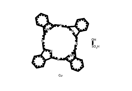 O=S(=O)(O)O.[Cu].c1ccc2c(c1)-c1nc-2nc2[nH]c(nc3nc(nc4[nH]c(n1)c1ccccc41)-c1ccccc1-3)c1ccccc21